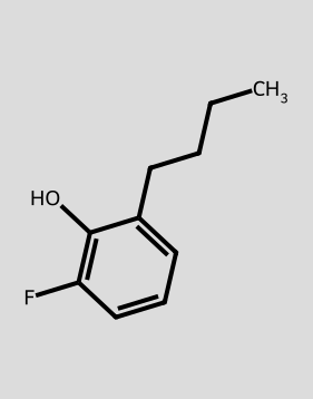 CCCCc1cccc(F)c1O